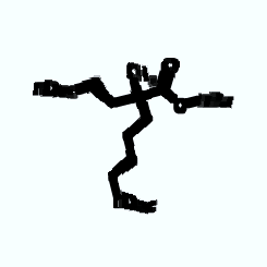 CCCCCCCCCCCCCCC(C)(CCCCCCCCCCCC)C(=O)OCCCC